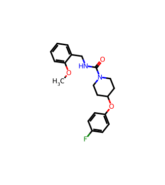 COc1ccccc1CNC(=O)N1CCC(Oc2ccc(F)cc2)CC1